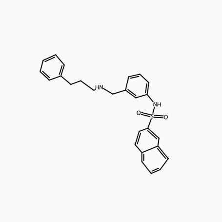 O=S(=O)(Nc1cccc(CNCCCc2ccccc2)c1)c1ccc2ccccc2c1